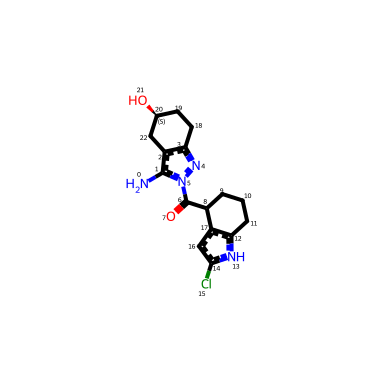 Nc1c2c(nn1C(=O)C1CCCc3[nH]c(Cl)cc31)CC[C@H](O)C2